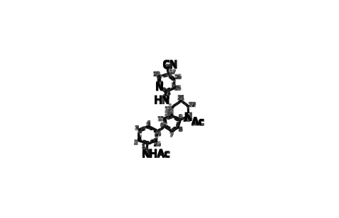 CC(=O)Nc1cccc(-c2ccc3c(c2)[C@H](Nc2ccc(C#N)cn2)CCN3C(C)=O)c1